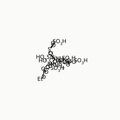 CCOCCCS(=O)(=O)c1ccc(N=Nc2c(N)c(N=Nc3ccc(S(=O)(=O)CCOS(=O)(=O)O)cc3S(=O)(=O)O)c(N)c(N=Nc3ccc(SC#COOS(=O)(=O)O)cc3S(=O)(=O)O)c2C(=O)O)c(S(=O)(=O)O)c1